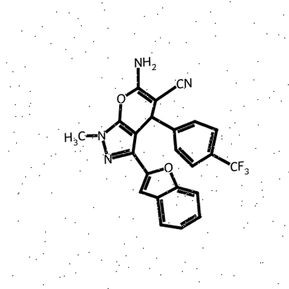 Cn1nc(-c2cc3ccccc3o2)c2c1OC(N)=C(C#N)C2c1ccc(C(F)(F)F)cc1